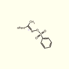 CCCCC/C(C)=N/OS(=O)(=O)c1ccccc1